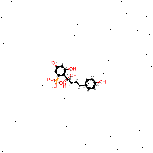 O=P(O)(O)c1cc(O)cc(O)c1C(O)(O)CCCc1ccc(O)cc1